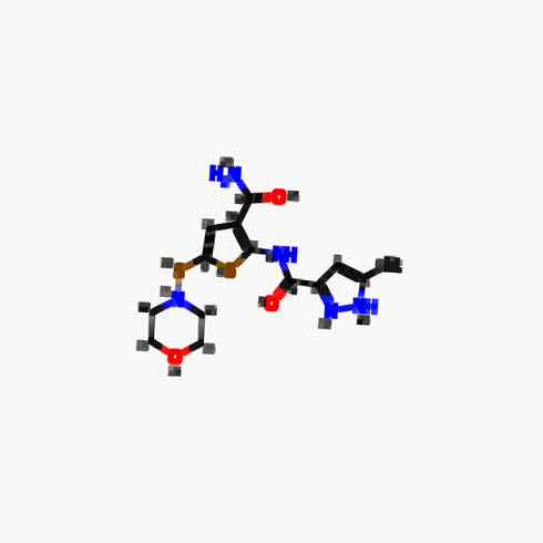 CCc1cc(C(=O)Nc2sc(SN3CCOCC3)cc2C(N)=O)n[nH]1